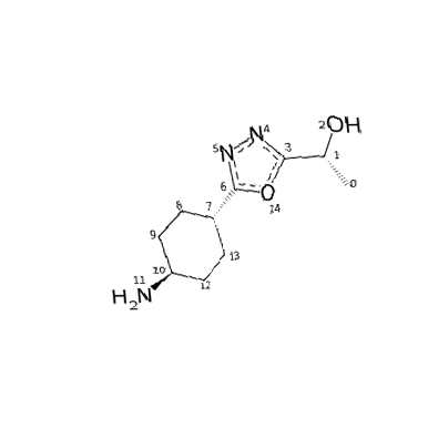 C[C@@H](O)c1nnc([C@H]2CC[C@H](N)CC2)o1